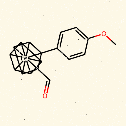 COc1ccc([C]23[CH]4[CH]5[CH]6[C]2(C=O)[Fe]56432789[CH]3[CH]2[CH]7[CH]8[CH]39)cc1